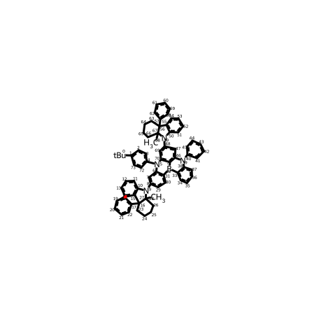 CC(C)(C)c1ccc(N2c3cc(N4c5ccccc5C5(c6ccccc6)CCCCC45C)ccc3B3c4ccccc4N(c4ccccc4)c4cc(N5c6ccccc6C6(c7ccccc7)CCCCC56C)cc2c43)cc1